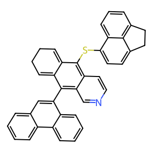 C1=c2c(Sc3ccc4c5c(cccc35)CC4)c3ccncc3c(-c3cc4ccccc4c4ccccc34)c2=CCC1